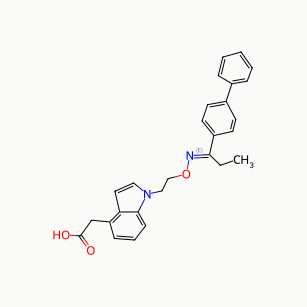 CC/C(=N\OCCn1ccc2c(CC(=O)O)cccc21)c1ccc(-c2ccccc2)cc1